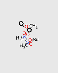 Cc1ccc(OC(=O)N(C)CCN(C)C(=O)OC(C)(C)C)cc1OCc1ccccc1